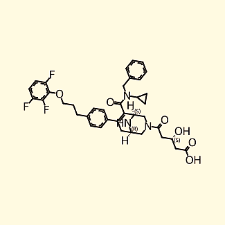 O=C(O)C[C@@H](O)CC(=O)N1C[C@H]2CC(c3ccc(CCCOc4c(F)ccc(F)c4F)cc3)=C(C(=O)N(Cc3ccccc3)C3CC3)[C@@H](C1)N2